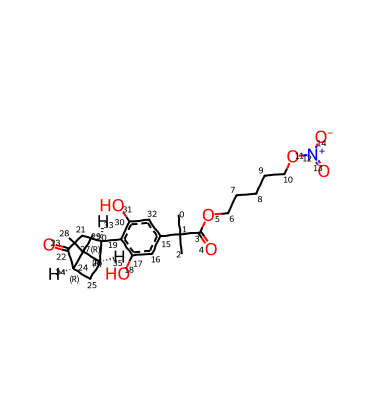 CC(C)(C(=O)OCCCCCO[N+](=O)[O-])c1cc(O)c([C@@H]2CC(=O)[C@@H]3C[C@H]2C3(C)C)c(O)c1